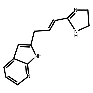 C(=CC1=NCCN1)Cc1cc2cccnc2[nH]1